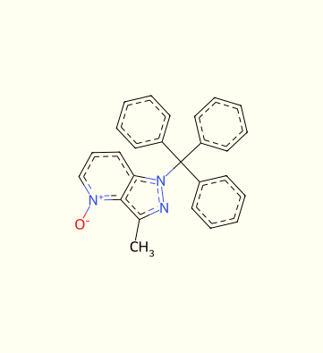 Cc1nn(C(c2ccccc2)(c2ccccc2)c2ccccc2)c2ccc[n+]([O-])c12